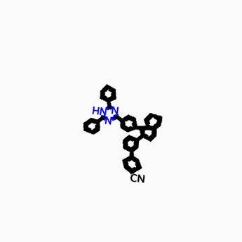 N#Cc1ccc(-c2cccc(-c3ccc4ccccc4c3-c3ccc(C4=NC(c5ccccc5)NC(c5ccccc5)=N4)cc3)c2)cc1